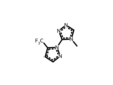 Cn1cnnc1-n1nc[c]c1C(F)(F)F